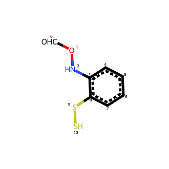 O=CONc1ccccc1SS